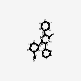 Cc1nc(-c2ccccc2)c(-c2cccc(C#N)c2)nc1-c1ccccc1